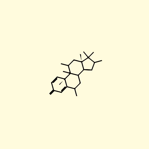 CC1CC2C3CC(C)C(C)(C)[C@@]3(C)CC(C)C2(C)[C@@]2(C)C=CC(=O)C=C12